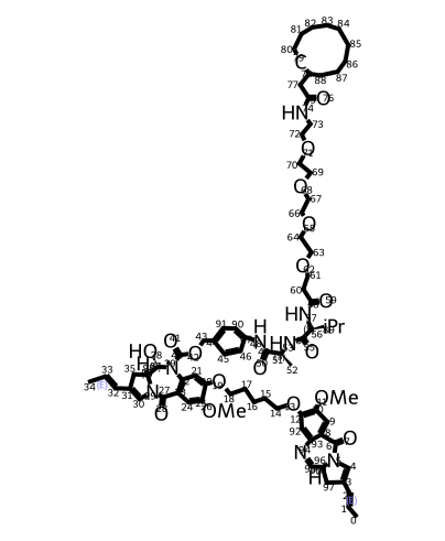 C/C=C/C1=CN2C(=O)c3cc(OC)c(OCCCCCOc4cc5c(cc4OC)C(=O)N4C=C(/C=C/C)C[C@H]4[C@H](O)N5C(=O)OCc4ccc(NC(=O)[C@H](C)NC(=O)[C@@H](NC(=O)CCOCCOCCOCCOCCNC(=O)CC5CCCCCCCCCC5)C(C)C)cc4)cc3N=C[C@@H]2C1